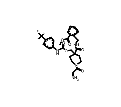 COC(=O)c1ccccc1CNC(=O)C1(COC(=O)Nc2ccc(C(F)(F)F)cc2)CCN(C(=O)CN)CC1